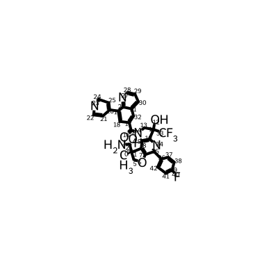 C[C@]1(C(N)=O)COc2c1cc(C(O)(CNC(=O)c1cc(-c3ccncc3)c3ncccc3c1)C(F)(F)F)nc2-c1ccc(F)cc1